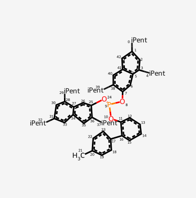 CCCC(C)c1cc(C(C)CCC)c2cc(OP(Oc3ccccc3-c3ccc(C)cc3)Oc3cc4c(C(C)CCC)cc(C(C)CCC)cc4cc3C(C)CCC)c(C(C)CCC)cc2c1